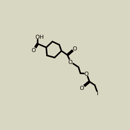 O=C(CI)OCCOC(=O)C1CCC(C(=O)O)CC1